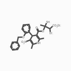 CCOC(=O)C(CC)C(C)(S)OC(=O)C1=C(C)NC(C)=C([N+](=O)[O-])C1c1ccccc1OCc1ccccc1